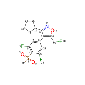 CS(=O)(=O)c1c(F)cc(-c2c(C3CCCC3)noc2CF)cc1F